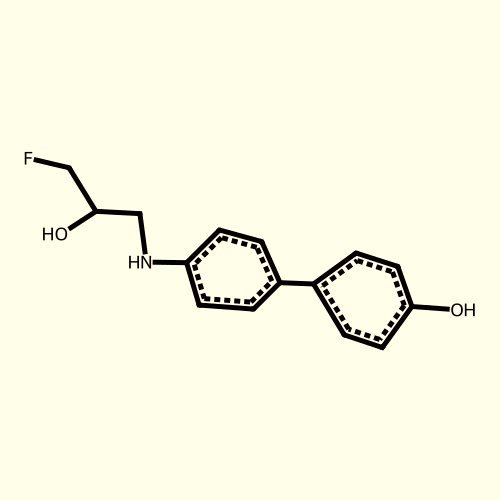 Oc1ccc(-c2ccc(NCC(O)CF)cc2)cc1